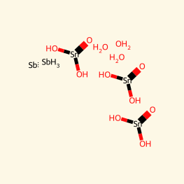 O.O.O.[O]=[Sn]([OH])[OH].[O]=[Sn]([OH])[OH].[O]=[Sn]([OH])[OH].[SbH3].[Sb]